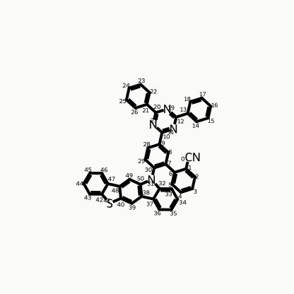 N#Cc1ccccc1-c1cc(-c2nc(-c3ccccc3)nc(-c3ccccc3)n2)ccc1-n1c2ccccc2c2cc3sc4ccccc4c3cc21